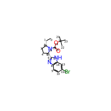 CC[C@H]1CC[C@@H](c2nc3ccc(Br)cc3[nH]2)N1C(=O)OC(C)(C)C